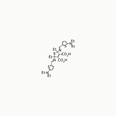 CCN(CC)c1ccc(/C=N/C2(CC)SC(CC)(/N=C/c3ccc(N(CC)CC)s3)C(C(=O)O)=C2C(=O)O)s1